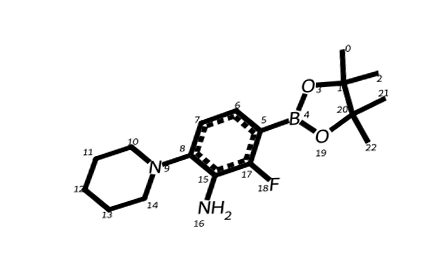 CC1(C)OB(c2ccc(N3CCCCC3)c(N)c2F)OC1(C)C